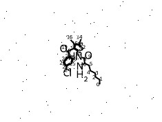 CCCCCCC(N)C(=O)Nc1sc(C)c(C)c1C(=O)c1ccc(Cl)cc1